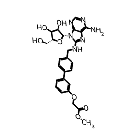 COC(=O)COc1cccc(-c2ccc(CNc3nc4c(N)ncnc4n3[C@@H]3O[C@H](CO)C(O)C3O)cc2)c1